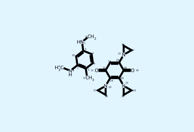 CNc1ccc(C)c(NC)c1.O=C1C=C(N2CC2)C(=O)C(N2CC2)=C1N1CC1